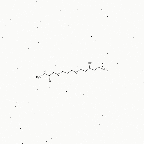 CNC(=O)COCCCOCCC(O)CCN